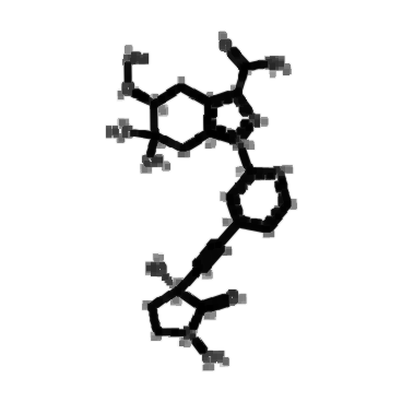 CCCCO[C@H]1Cc2c(C(N)=O)nn(-c3cc(C#C[C@]4(O)CCN(C)C4=O)ccn3)c2CC1(C)C